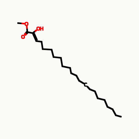 CCCCCCCCCCCCCCCCCCCC=C(O)C(=O)OC